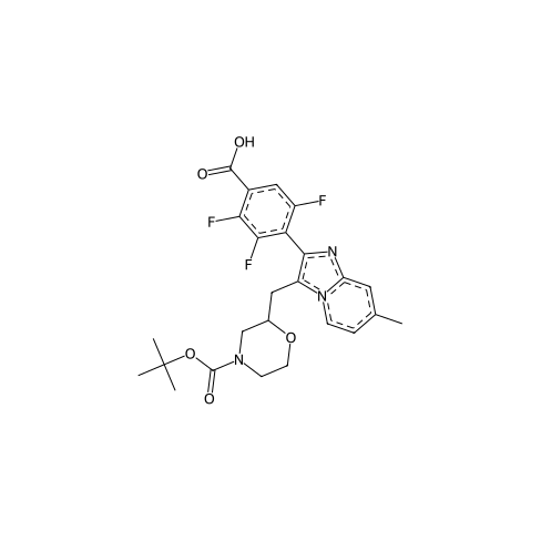 Cc1ccn2c(CC3CN(C(=O)OC(C)(C)C)CCO3)c(-c3c(F)cc(C(=O)O)c(F)c3F)nc2c1